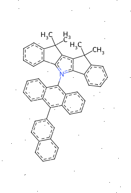 CC1(C)c2ccccc2-c2c1c1c(n2-c2c3ccccc3c(-c3ccc4ccccc4c3)c3ccccc23)-c2ccccc2C1(C)C